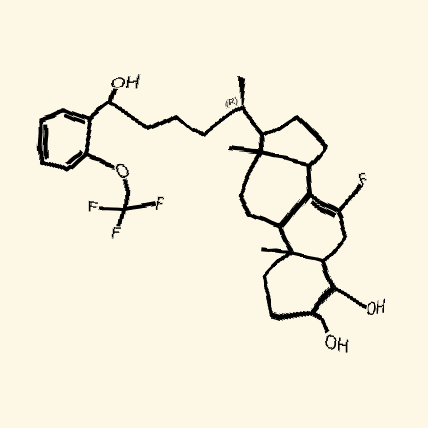 C[C@H](CCCC(O)c1ccccc1OC(F)(F)F)C1CCC2C3=C(F)CC4C(O)C(O)CCC4(C)C3CCC21C